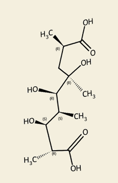 C[C@@H]([C@H](O)[C@@H](C)C(=O)O)[C@@H](O)[C@](C)(O)C[C@@H](C)C(=O)O